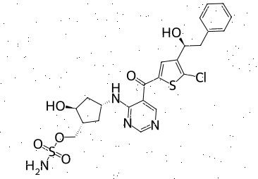 NS(=O)(=O)OC[C@H]1C[C@@H](Nc2ncncc2C(=O)c2cc([C@@H](O)Cc3ccccc3)c(Cl)s2)C[C@@H]1O